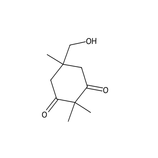 CC1(CO)CC(=O)C(C)(C)C(=O)C1